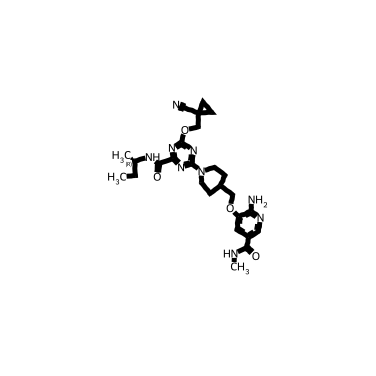 CC[C@@H](C)NC(=O)c1nc(OCC2(C#N)CC2)nc(N2CCC(COc3cc(C(=O)NC)cnc3N)CC2)n1